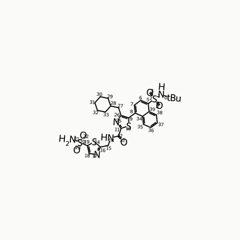 CC(C)(C)NS(=O)(=O)c1ccc(-c2sc(C(=O)NCc3ncc(S(N)(=O)=O)s3)nc2CC2CCCCC2)c2ccccc12